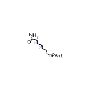 CCCCCCC/C=C/C=C/C(N)=O